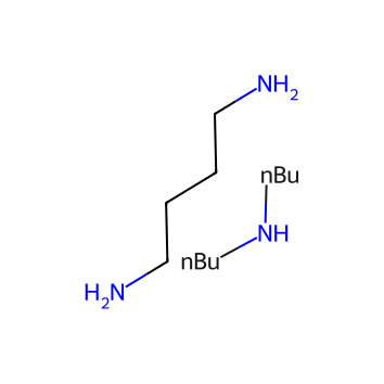 CCCCNCCCC.NCCCCN